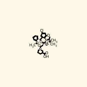 COc1ccccc1[C@H]1O[C@H](CC(=O)N2CCCC(C(=O)O)C2)C(=O)N2c3c(cc(Cl)cc31)OC[C@H]2C(C)(C)C